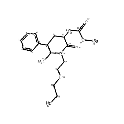 CC1C(c2ccccc2)CC(NC(=O)OC(C)(C)C)C(=O)N1CCOCCO